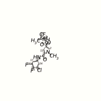 Cn1cc(S(=O)(=O)N[Si@@H](C)C(F)(F)F)cc1C(=O)Nc1cc(F)c(F)c(Cl)c1